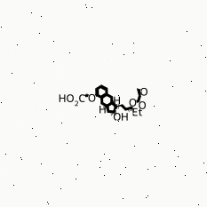 CC[C@@H](CC[C@@H]1[C@H]2Cc3cccc(OCC(=O)O)c3C[C@H]2C[C@H]1O)OC(=O)C1CO1